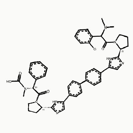 CN(C)C(C(=O)N1CCC[C@H]1c1ncc(-c2ccc(-c3ccc(-c4cnc([C@@H]5CCCN5C(=O)[C@@H](c5ccccc5)N(C)C(=O)O)[nH]4)cc3)cc2)[nH]1)c1ccccc1Cl